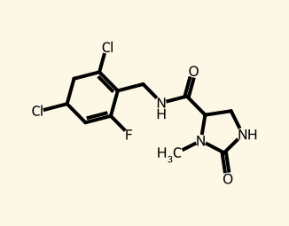 CN1C(=O)NCC1C(=O)NCC1=C(Cl)CC(Cl)C=C1F